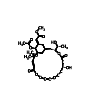 COC(=O)/C=C1\CC2C[C@H]([C@@H](C)O)OC(=O)C[C@H](O)CCOCCCOC(=O)/C=C/C(C)(C)[C@](O)(C2)[C@H]1OC(C)=O